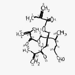 C=C(C)C(=O)OCC(COC(=O)C(=C)C)(COC(=O)C(=C)C)C(C)CCC=O